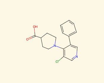 O=C(O)C1CCN(c2c(Cl)cncc2-c2ccccc2)CC1